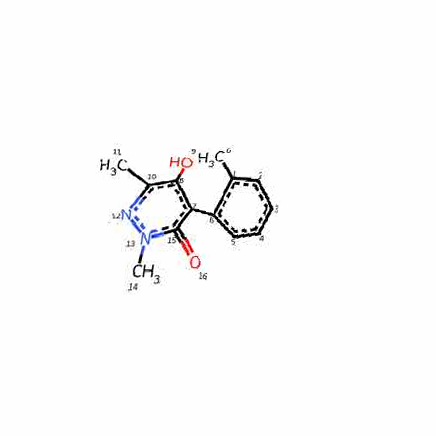 Cc1ccccc1-c1c(O)c(C)nn(C)c1=O